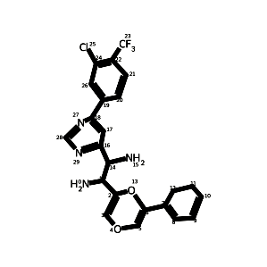 NC(C1=COC=C(C2=CC=CCC2)O1)C(N)c1cc(-c2ccc(C(F)(F)F)c(Cl)c2)ncn1